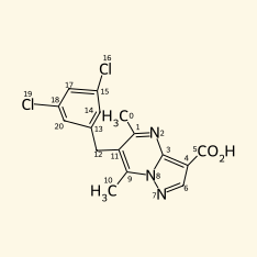 Cc1nc2c(C(=O)O)cnn2c(C)c1Cc1cc(Cl)cc(Cl)c1